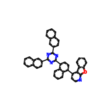 c1ccc2cc(-c3nc(-c4ccc5ccccc5c4)nc(-c4ccc(-c5ccnc6oc7ccccc7c56)c5ccccc45)n3)ccc2c1